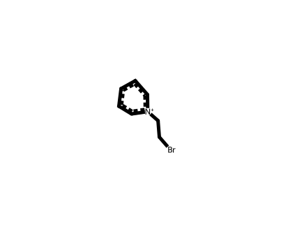 BrCC[n+]1ccccc1